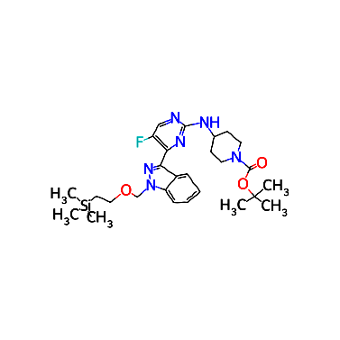 CC(C)(C)OC(=O)N1CCC(Nc2ncc(F)c(-c3nn(COCC[Si](C)(C)C)c4ccccc34)n2)CC1